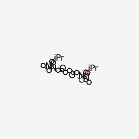 CC(C)c1ccc(-n2c3c(c4ccccc42)C=CC(C)C3N(c2ccccc2)c2ccc3c(c2)oc2c3ccc3c2ccc2c4ccc(N(c5ccccc5)c5cccc6c7ccccc7n(-c7ccc(C(C)C)cc7)c56)cc4oc23)cc1